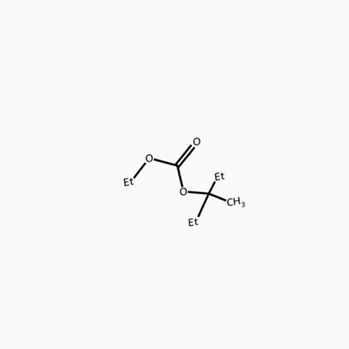 [CH2]COC(=O)OC(C)(CC)CC